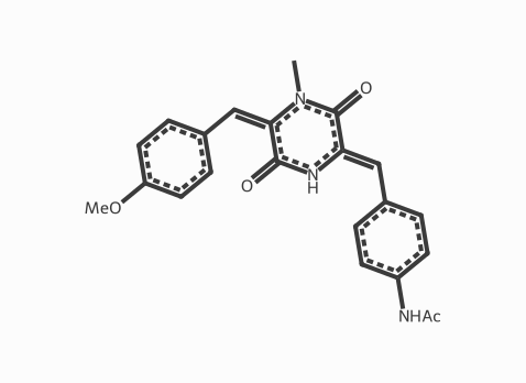 COc1ccc(C=c2c(=O)[nH]c(=Cc3ccc(NC(C)=O)cc3)c(=O)n2C)cc1